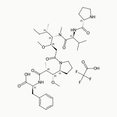 CC[C@H](C)[C@@H]([C@@H](CC(=O)N1CCC[C@H]1[C@H](OC)[C@@H](C)C(=O)N[C@@H](Cc1ccccc1)C(=O)O)OC)N(C)C(=O)[C@@H](NC(=O)[C@@H]1CCCN1)C(C)C.O=C(O)C(F)(F)F